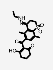 CCNN=C1CCS(=O)(=O)c2c(C)cc(C(=O)C3=C(O)CCCC3=O)c(C)c21